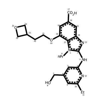 CCCn1c(Nc2cc(CO)cc(CC)n2)nc2cc(C(=O)O)cc(OCCC3COC3)c21